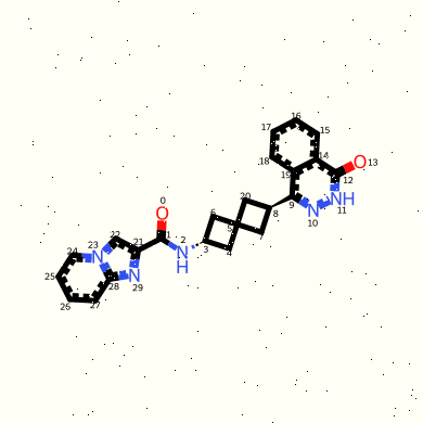 O=C(N[C@H]1CC2(C1)C[C@H](c1n[nH]c(=O)c3ccccc31)C2)c1cn2ccccc2n1